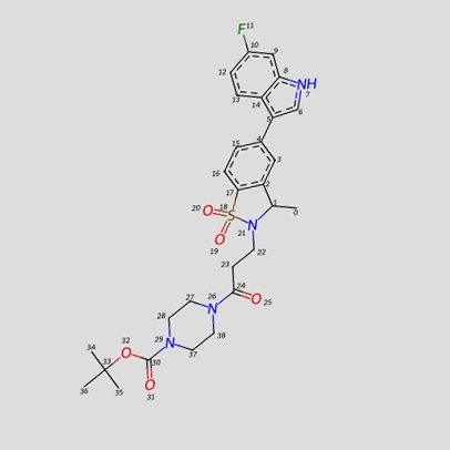 CC1c2cc(-c3c[nH]c4cc(F)ccc34)ccc2S(=O)(=O)N1CCC(=O)N1CCN(C(=O)OC(C)(C)C)CC1